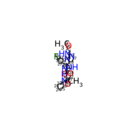 COCCNc1nccc(-c2[nH]c(C3OCC(C)(C(=O)Nc4ccccc4)CO3)nc2-c2ccc(F)cc2)n1